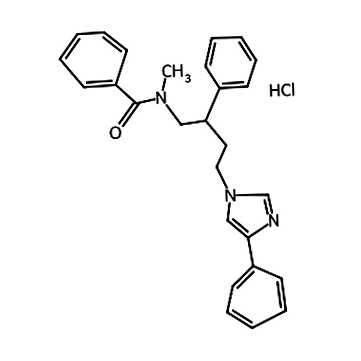 CN(CC(CCn1cnc(-c2ccccc2)c1)c1ccccc1)C(=O)c1ccccc1.Cl